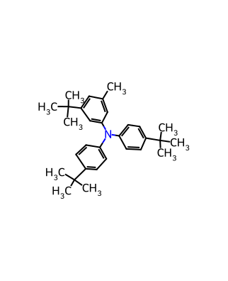 Cc1cc(N(c2ccc(C(C)(C)C)cc2)c2ccc(C(C)(C)C)cc2)cc(C(C)(C)C)c1